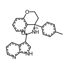 Cc1ccc([C@@]2(NC(=O)c3c[nH]c4ncccc34)CCOc3cccnc32)cc1